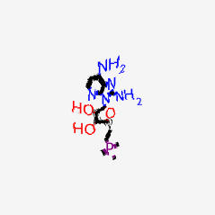 C=P(C)(C)CC[C@H]1OC(n2c(N)nc3c(N)ccnc32)[C@H](O)[C@@H]1O